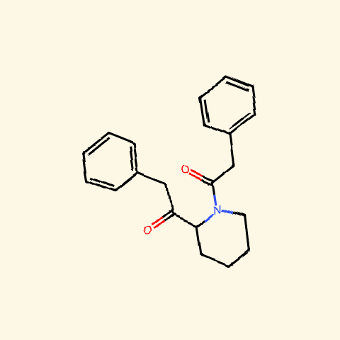 O=C(Cc1ccccc1)C1CCCCN1C(=O)Cc1ccccc1